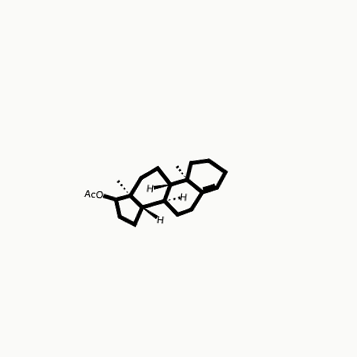 CC(=O)OC1CC[C@H]2[C@@H]3CCC4=CCCC[C@]4(C)[C@H]3CC[C@]12C